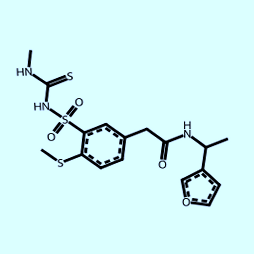 CNC(=S)NS(=O)(=O)c1cc(CC(=O)NC(C)c2ccoc2)ccc1SC